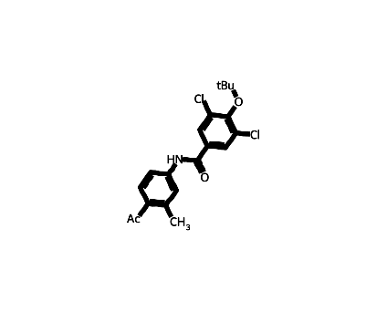 CC(=O)c1ccc(NC(=O)c2cc(Cl)c(OC(C)(C)C)c(Cl)c2)cc1C